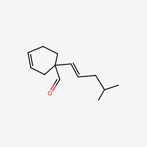 CC(C)CC=CC1(C=O)CC=CCC1